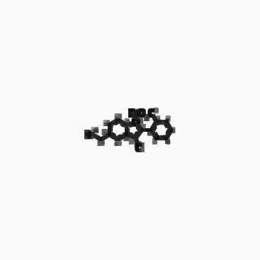 CCOC(=O)c1ccccc1-c1oc2ccc(CBr)cc2c1Cl